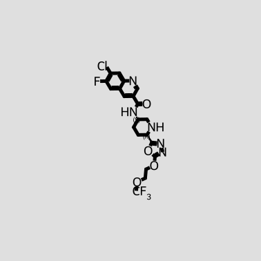 O=C(N[C@H]1CC[C@H](c2nnc(OCCOC(F)(F)F)o2)NC1)c1cnc2cc(Cl)c(F)cc2c1